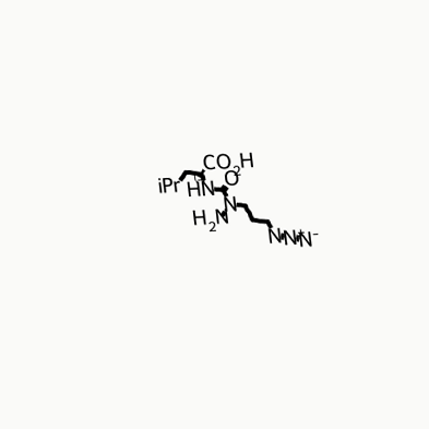 CC(C)C[C@H](NC(=O)N(N)CCCN=[N+]=[N-])C(=O)O